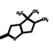 CC1CC2OC(=O)CC2C1(C)C